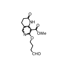 COC(=O)c1c(OCCCC=O)ncc2c1NC(=O)CC2